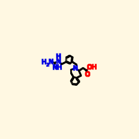 N=C(N)NCc1cccc(CN2CCc3ccccc3CC2CC(=O)O)c1